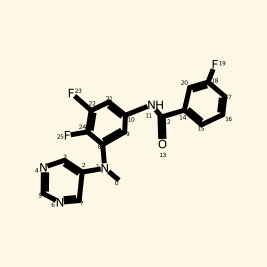 CN(c1cncnc1)c1cc(NC(=O)c2cccc(F)c2)cc(F)c1F